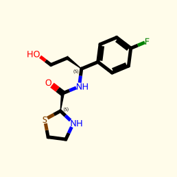 O=C(N[C@@H](CCO)c1ccc(F)cc1)[C@H]1NCCS1